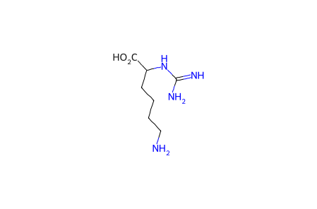 N=C(N)NC(CCCCN)C(=O)O